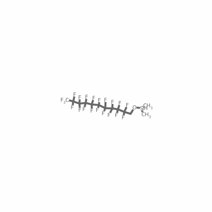 C[SiH](C)OCC(F)(F)C(F)(F)C(F)(F)C(F)(F)C(F)(F)C(F)(F)C(F)(F)C(F)(F)C(F)(F)C(F)(F)F